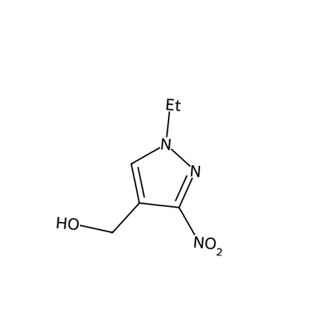 CCn1cc(CO)c([N+](=O)[O-])n1